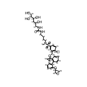 CN(CCCCNC(=O)NC[C@H](O)C[C@H](O)[C@H](O)CO)S(=O)(=O)c1ccc(Cl)c(COC2(c3cnccc3-c3ccccc3OC3COC3)CC2)c1